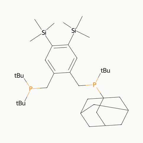 CC(C)(C)P(Cc1cc([Si](C)(C)C)c([Si](C)(C)C)cc1CP(C(C)(C)C)C12CC3CC(CC(C3)C1)C2)C(C)(C)C